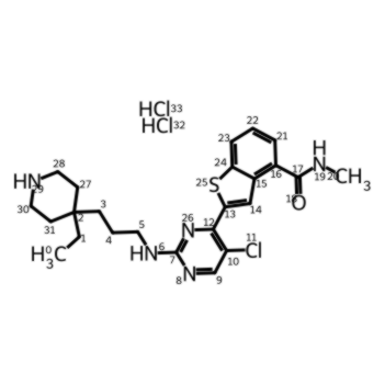 CCC1(CCCNc2ncc(Cl)c(-c3cc4c(C(=O)NC)cccc4s3)n2)CCNCC1.Cl.Cl